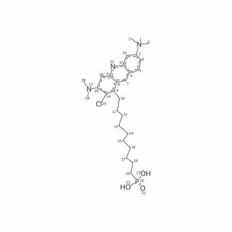 CN(C)c1ccc2cc3c(CCCCCCCCCCP(=O)(O)O)c(Cl)c(N(C)C)cc3nc2c1